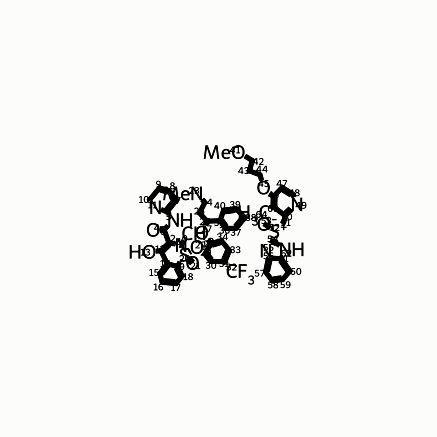 CN1C(C(=O)Nc2ccccn2)=C(O)c2ccccc2S1(=O)=O.CNCCC(Oc1ccc(C(F)(F)F)cc1)c1ccccc1.COCCCOc1ccnc(C[S+]([O-])c2nc3ccccc3[nH]2)c1C